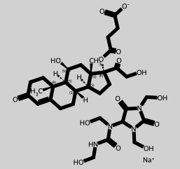 C[C@]12CCC(=O)C=C1CC[C@@H]1[C@@H]2[C@@H](O)C[C@@]2(C)[C@H]1CC[C@]2(OC(=O)CCC(=O)[O-])C(=O)CO.O=C1C(N(CO)C(=O)NCO)N(CO)C(=O)N1CO.[Na+]